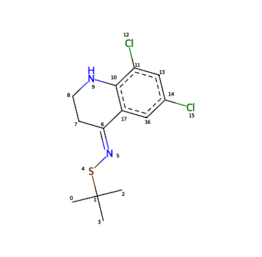 CC(C)(C)SN=C1CCNc2c(Cl)cc(Cl)cc21